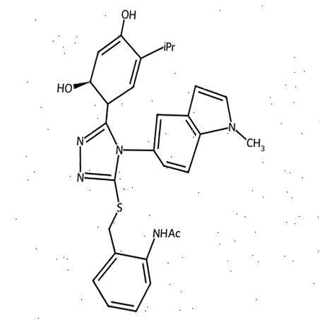 CC(=O)Nc1ccccc1CSc1nnc(C2C=C(C(C)C)C(O)=C[C@@H]2O)n1-c1ccc2c(ccn2C)c1